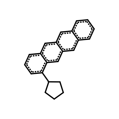 c1ccc2cc3cc4c([C]5CCCC5)cccc4cc3cc2c1